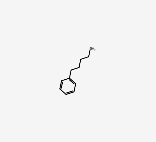 [SiH2]CCCCc1ccccc1